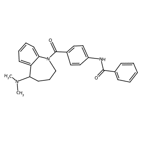 CN(C)C1CCCN(C(=O)c2ccc(NC(=O)c3ccccc3)cc2)c2ccccc21